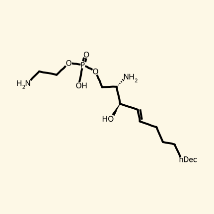 CCCCCCCCCCCCC/C=C/[C@@H](O)[C@@H](N)COP(=O)(O)OCCN